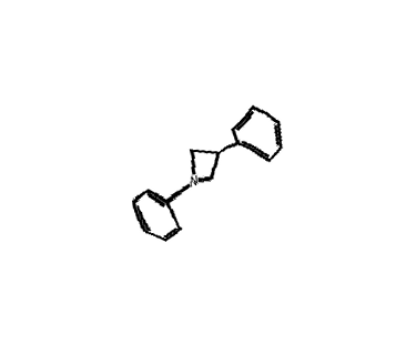 c1ccc(C2CN(c3ccccc3)C2)cc1